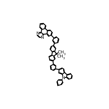 CC1(C)c2cc(-c3cccc(-c4ccc5c6ccccc6c6nccnc6c5c4)c3)ccc2-c2ccc(-c3cccc(-c4ccc5c6ccccc6n(-c6ccccc6)c5c4)c3)cc21